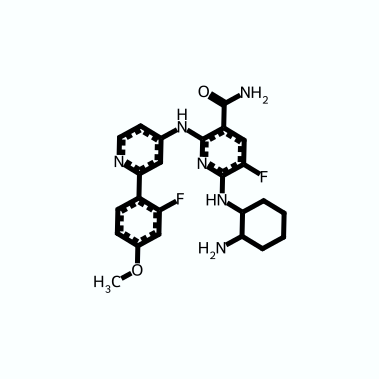 COc1ccc(-c2cc(Nc3nc(NC4CCCCC4N)c(F)cc3C(N)=O)ccn2)c(F)c1